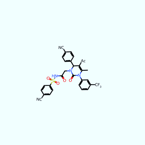 CC(=O)C1=C(C)N(c2cccc(C(F)(F)F)c2)C(=O)N(CC(=O)NS(=O)(=O)c2ccc(C#N)cc2)C1c1ccc(C#N)cc1